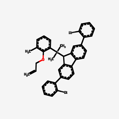 C=CCOc1c(C)cccc1[Si](C)(C)C1c2cc(-c3ccccc3CC)ccc2-c2ccc(-c3ccccc3CC)cc21